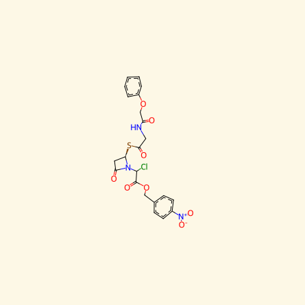 O=C(COc1ccccc1)NCC(=O)S[C@@H]1CC(=O)N1C(Cl)C(=O)OCc1ccc([N+](=O)[O-])cc1